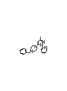 Cc1cc(N2CCN(Cc3ccccc3)CC2)n(-c2ccccn2)n1